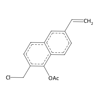 C=Cc1ccc2c(OC(C)=O)c(CCl)ccc2c1